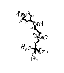 CC(C)(C)CCS(=O)(=O)CCNC1CCNCC1